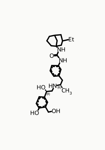 CCC1CC2CCCC(NC(=O)Nc3cccc(C[C@@H](C)NC[C@H](O)c4ccc(O)c(CO)c4)c3)(C1)C2